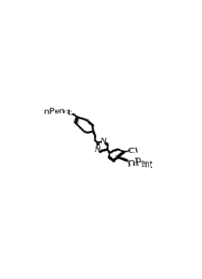 CCCCCc1ccc(-c2cnc(CCC3CCC(CCCCC)CC3)nc2)cc1Cl